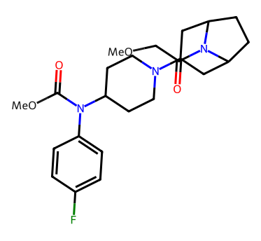 COCC(=O)N1C2CCC1CC(N1CCC(N(C(=O)OC)c3ccc(F)cc3)CC1)C2